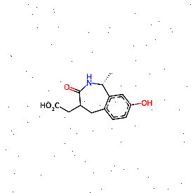 C[C@H]1NC(=O)C(CC(=O)O)Cc2ccc(O)cc21